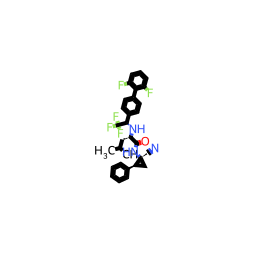 CC(C)C[C@H](N[C@@H](c1ccc(-c2c(F)cccc2F)cc1)C(F)(F)F)C(=O)N[C@@]1(C#N)C[C@H]1c1ccccc1